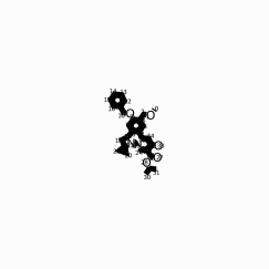 COCc1cc2c(cc1OCc1ccccc1)C1CC3(CC3)N1n1cc(C(=O)OC(C)C)c(=O)cc1-2